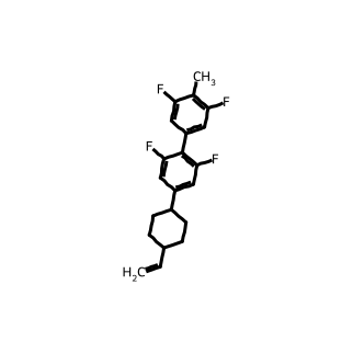 C=CC1CCC(c2cc(F)c(-c3cc(F)c(C)c(F)c3)c(F)c2)CC1